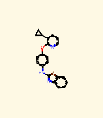 c1cnc(Oc2ccc(Nc3nc4ccccc4s3)cc2)c(C2CC2)c1